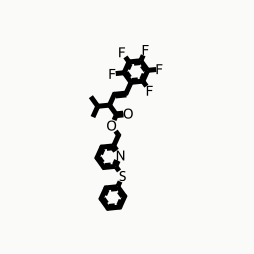 CC(C)C(C=Cc1c(F)c(F)c(F)c(F)c1F)C(=O)OCc1cccc(Sc2ccccc2)n1